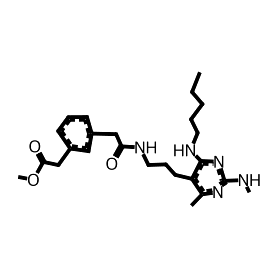 CCCCCNc1nc(NC)nc(C)c1CCCNC(=O)Cc1cccc(CC(=O)OC)c1